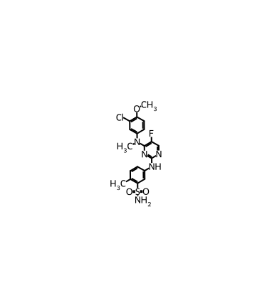 COc1ccc(N(C)c2nc(Nc3ccc(C)c(S(N)(=O)=O)c3)ncc2F)cc1Cl